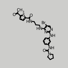 CC(=O)c1ccc(C(=O)NCCCNc2nc(Nc3cccc(NC(=O)N4CCCC4)c3)ncc2Br)s1